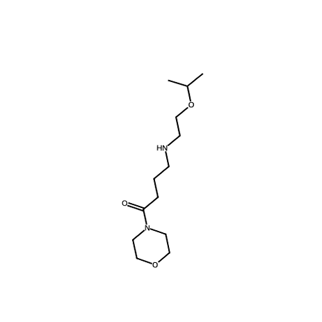 CC(C)OCCNCCCC(=O)N1CCOCC1